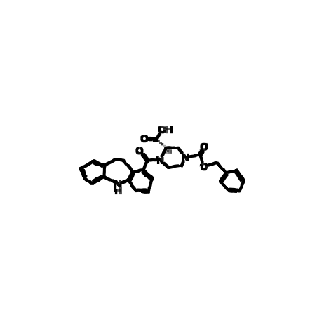 O=C(O)[C@@H]1CN(C(=O)OCc2ccccc2)CCN1C(=O)c1cccc2c1CCc1ccccc1N2